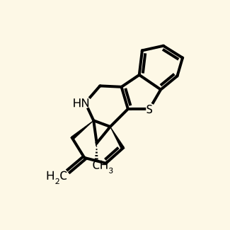 C=C1C=C[C@]23c4sc5ccccc5c4CN[C@@]2(C1)[C@H]3C